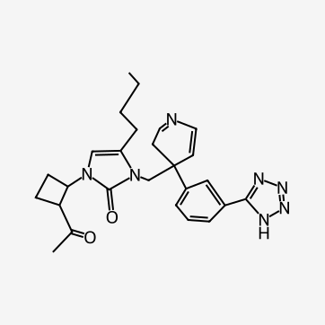 CCCCc1cn(C2CCC2C(C)=O)c(=O)n1CC1(c2cccc(-c3nnn[nH]3)c2)C=CN=CC1